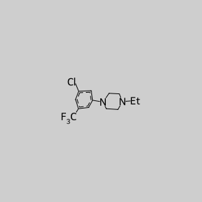 CCN1CCN(c2cc(Cl)cc(C(F)(F)F)c2)CC1